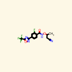 CC(CC#N)ONC(=O)c1ccc(-c2noc(C(F)(F)F)n2)cc1F